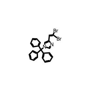 BrC(Br)=Cc1cn(C(c2ccccc2)(c2ccccc2)c2ccccc2)cn1